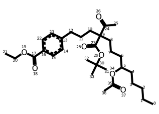 CCCCCC(CCCC(CCCc1ccc(C(=O)OCC)cc1)(C(C)=O)C(=O)OC(C)(C)C)OC(C)=O